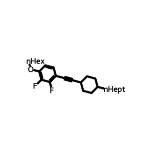 CCCCCCCC1CCC(C#Cc2ccc(OCCCCCC)c(F)c2F)CC1